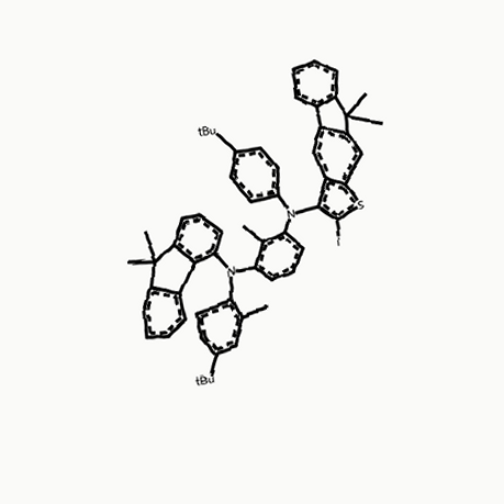 Cc1cc(C(C)(C)C)ccc1N(c1cccc(N(c2ccc(C(C)(C)C)cc2)c2c(I)sc3cc4c(cc23)-c2ccccc2C4(C)C)c1C)c1cccc2c1-c1ccccc1C2(C)C